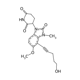 COc1ccc2c(c1C#CCCCO)n(C)c(=O)n2C1CCC(=O)NC1=O